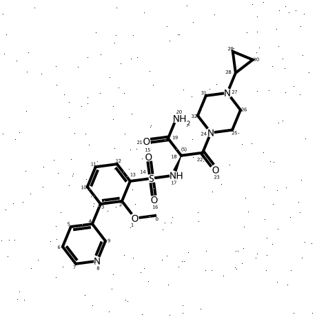 COc1c(-c2cccnc2)cccc1S(=O)(=O)N[C@@H](C(N)=O)C(=O)N1CCN(C2CC2)CC1